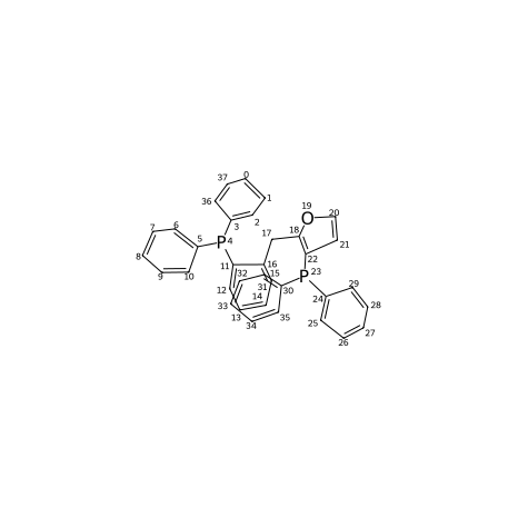 c1ccc(P(c2ccccc2)c2ccccc2Cc2occc2P(c2ccccc2)c2ccccc2)cc1